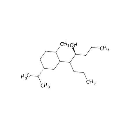 CCCC(C1C[C@H](C(C)C)CCC1C)[C@@H](O)CCC